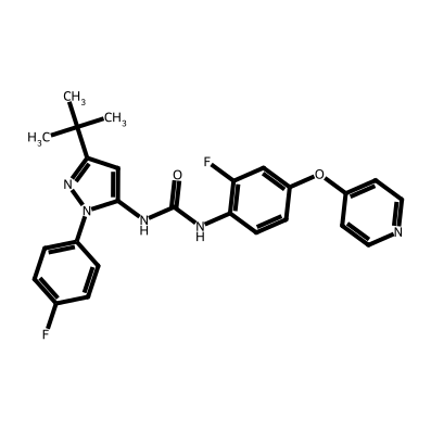 CC(C)(C)c1cc(NC(=O)Nc2ccc(Oc3ccncc3)cc2F)n(-c2ccc(F)cc2)n1